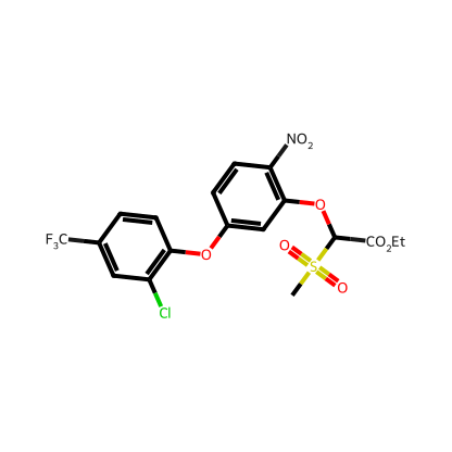 CCOC(=O)C(Oc1cc(Oc2ccc(C(F)(F)F)cc2Cl)ccc1[N+](=O)[O-])S(C)(=O)=O